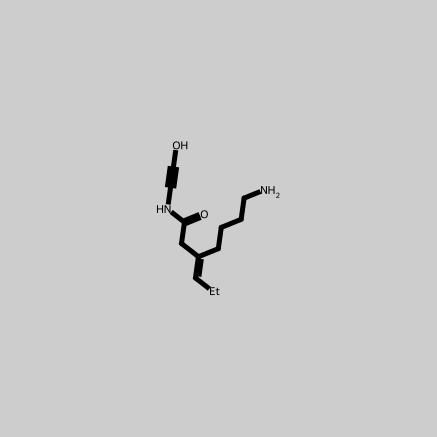 CC/C=C(\CCCCN)CC(=O)NC#CO